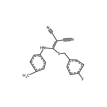 Cc1ccc(NC(SCc2ccc(F)cc2)=C(C#N)C#N)cc1